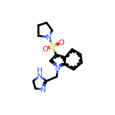 O=S(=O)(c1cn(CC2=NCCN2)c2ccccc12)N1CCCC1